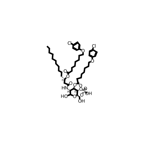 CCCCCCCCCCC[C@@H](CC(=O)N[C@H]1C(O)O[C@H](CO)[C@@H](OS(=O)(=O)O)[C@@H]1OC(=O)CCCCCCCOc1ccc(Cl)cc1)OC(=O)CCCCCCCOc1ccc(Cl)cc1